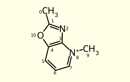 Cc1nc2c(ccc[n+]2C)o1